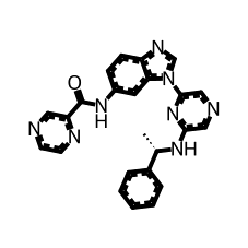 C[C@H](Nc1cncc(-n2cnc3ccc(NC(=O)c4cnccn4)cc32)n1)c1ccccc1